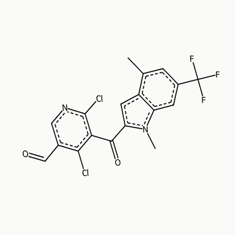 Cc1cc(C(F)(F)F)cc2c1cc(C(=O)c1c(Cl)ncc(C=O)c1Cl)n2C